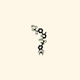 Cc1ccc(NC(=O)C(C)(C)c2ccc3c(c2)OC(F)(F)O3)nc1-c1cccc(NC(=O)OC(C)C)c1